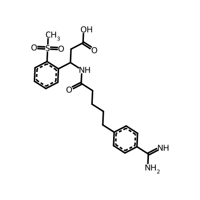 CS(=O)(=O)c1ccccc1C(CC(=O)O)NC(=O)CCCCc1ccc(C(=N)N)cc1